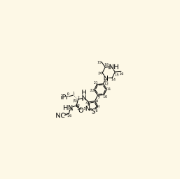 CC(C)C[C@H](Nc1nscc1-c1ccc(N2CC(C)NC(C)C2)cc1)C(=O)NCC#N